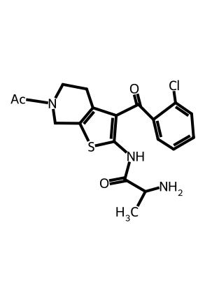 CC(=O)N1CCc2c(sc(NC(=O)C(C)N)c2C(=O)c2ccccc2Cl)C1